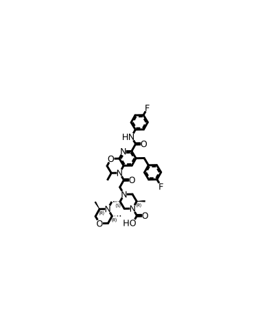 CC1COc2nc(C(=O)Nc3ccc(F)cc3)c(Cc3ccc(F)cc3)cc2N1C(=O)CN1C[C@@H](C)N(C(=O)O)C[C@@H]1CN1[C@H](C)COC[C@H]1C